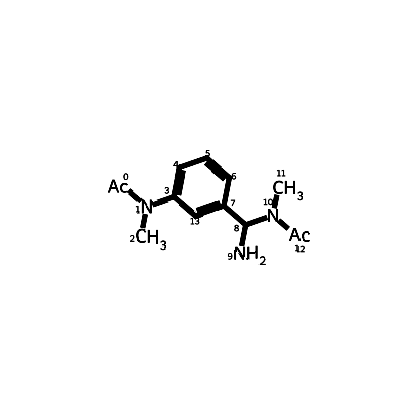 CC(=O)N(C)c1cccc(C(N)N(C)C(C)=O)c1